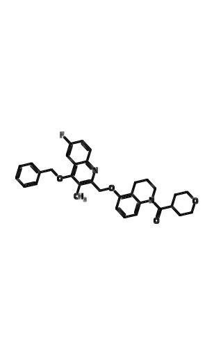 Cc1c(COc2cccc3c2CCCN3C(=O)C2CCOCC2)nc2ccc(F)cc2c1OCc1ccccc1